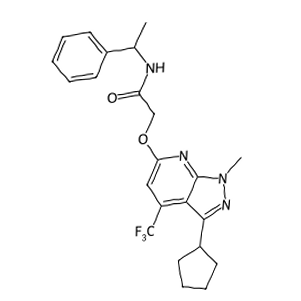 CC(NC(=O)COc1cc(C(F)(F)F)c2c(C3CCCC3)nn(C)c2n1)c1ccccc1